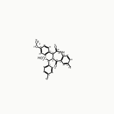 O=C(O)C(c1ccc(F)cc1)N1C(=O)c2cc(I)ccc2NC(=O)C1c1ccc(OC(F)(F)F)cc1